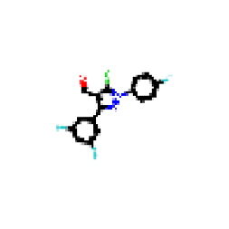 O=Cc1c(-c2cc(F)cc(F)c2)nn(-c2ccc(F)cc2)c1Cl